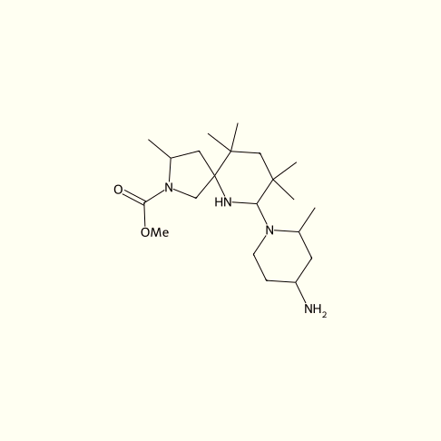 COC(=O)N1CC2(CC1C)NC(N1CCC(N)CC1C)C(C)(C)CC2(C)C